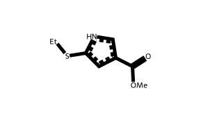 CCSc1cc(C(=O)OC)c[nH]1